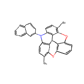 CC(C)(C)c1ccc2c3c1Oc1cccc4c1B3c1c(ccc(C(C)(C)C)c1O4)N2c1ccc2ccccc2c1